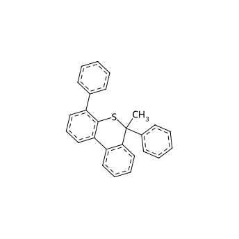 CC1(c2ccccc2)Sc2c(-c3ccccc3)cccc2-c2ccccc21